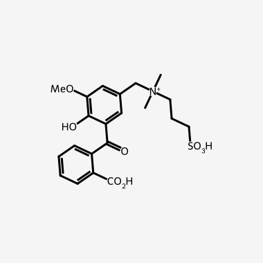 COc1cc(C[N+](C)(C)CCCS(=O)(=O)O)cc(C(=O)c2ccccc2C(=O)O)c1O